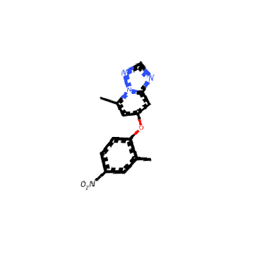 Cc1cc([N+](=O)[O-])ccc1Oc1cc(C)n2ncnc2c1